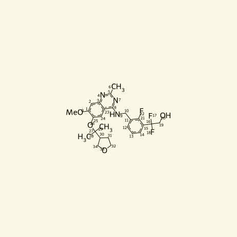 COc1cc2nc(C)nc(NCc3cccc(C(F)(F)CO)c3F)c2cc1OC(C)(C)C1CCOC1